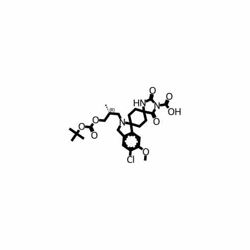 COc1cc2c(cc1Cl)CN(C[C@@H](C)COC(=O)OC(C)(C)C)C21CCC2(CC1)NC(=O)N(C(=O)O)C2=O